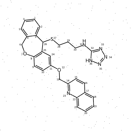 c1ccc2c(c1)COc1ccc(OCc3ccc4ccccc4n3)cc1C2SCCCNc1nnn[nH]1